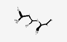 CCC(=O)OC(S)CC(=O)S